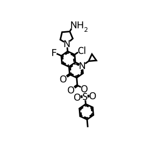 Cc1ccc(S(=O)(=O)OC(=O)c2cn(C3CC3)c3c(Cl)c(N4CCC(N)C4)c(F)cc3c2=O)cc1